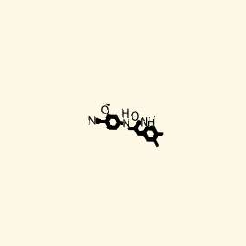 COc1cc(NCc2cc3cc(C)c(C)cc3[nH]c2=O)ccc1C#N